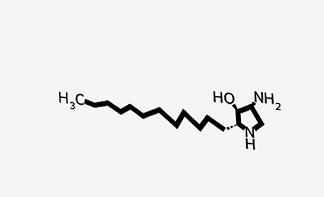 CCCCCCCCCCCC[C@H]1NC[C@H](N)[C@@H]1O